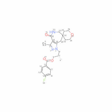 CCc1nn(C[C@H](C)COC(=O)c2ccc(F)cc2)c2c1C(=O)NCC1(CCOCC1)C2